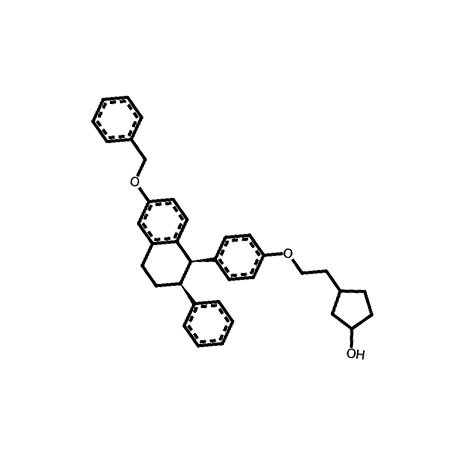 OC1CCC(CCOc2ccc([C@@H]3c4ccc(OCc5ccccc5)cc4CC[C@@H]3c3ccccc3)cc2)C1